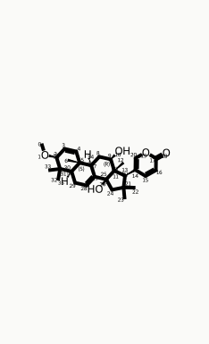 CO[C@H]1C=C[C@]2(C)[C@H]3C[C@@H](O)[C@]4(C)[C@@H](c5ccc(=O)oc5)C(C)(C)C[C@]4(O)C3=CC[C@H]2C1(C)C